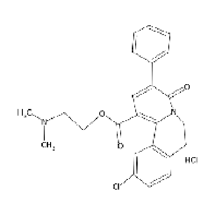 CN(C)CCOC(=O)c1cc(-c2ccccc2)c(=O)n2c1-c1cc(Cl)ccc1CC2.Cl